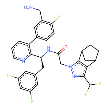 NCc1cc(-c2cccnc2[C@H](Cc2cc(F)cc(F)c2)NC(=O)Cn2nc(C(F)F)c3c2C2CCC3C2)ccc1F